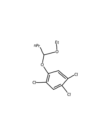 CCCC(OCC)Oc1cc(Cl)c(Cl)cc1Cl